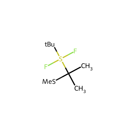 CSC(C)(C)S(F)(F)C(C)(C)C